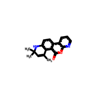 CC1=CC(C)(C)Nc2ccc3c(c21)c(=O)oc1ncccc13